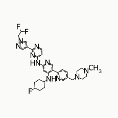 CN1CCN(Cc2ccc(-c3cnc(Nc4ccnc(-c5cnn(CC(F)F)c5)n4)cc3NC3CCC(F)CC3)nc2)CC1